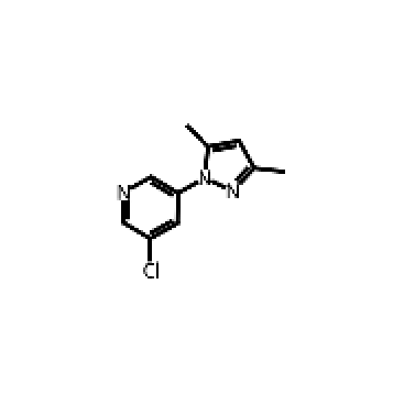 Cc1cc(C)n(-c2cncc(Cl)c2)n1